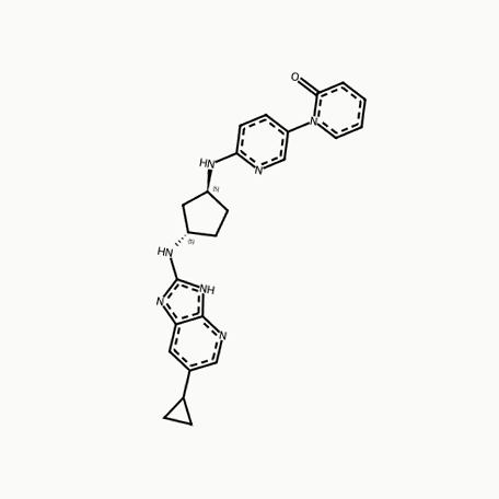 O=c1ccccn1-c1ccc(N[C@H]2CC[C@H](Nc3nc4cc(C5CC5)cnc4[nH]3)C2)nc1